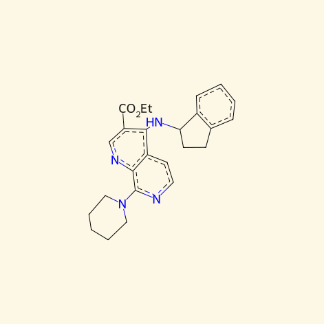 CCOC(=O)c1cnc2c(N3CCCCC3)nccc2c1NC1CCc2ccccc21